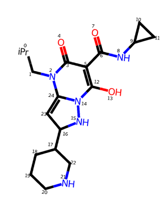 CC(C)CN1C(=O)C(C(=O)NC2CC2)=C(O)N2NC(C3CCCNC3)C=C12